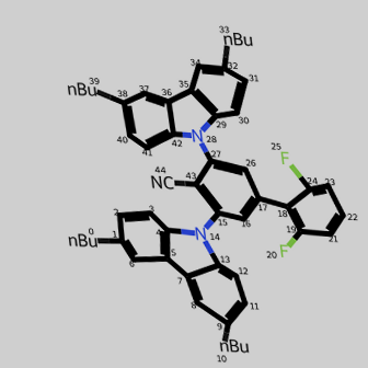 CCCCc1ccc2c(c1)c1cc(CCCC)ccc1n2-c1cc(-c2c(F)cccc2F)cc(-n2c3ccc(CCCC)cc3c3cc(CCCC)ccc32)c1C#N